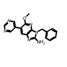 COc1nc2c(cc1-c1cncnc1)nc(N)n2Cc1ccccc1